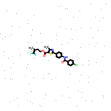 CC(CCOC(=O)c1sc(-c2ccc(NC(=O)c3ccc(Cl)cc3)cc2)nc1C)=C(F)F